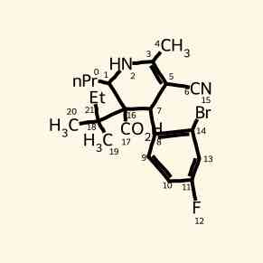 CCCC1NC(C)=C(C#N)C(c2ccc(F)cc2Br)C1(C(=O)O)C(C)(C)CC